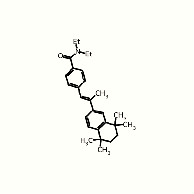 CCN(CC)C(=O)c1ccc(C=C(C)c2ccc3c(c2)C(C)(C)CCC3(C)C)cc1